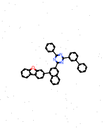 c1ccc(-c2cccc(-c3nc(-c4ccccc4)nc(-c4cc(-c5ccc6c(c5)oc5ccccc56)c5ccccc5c4)n3)c2)cc1